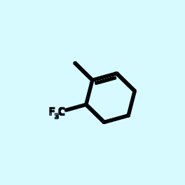 CC1=CCCCC1C(F)(F)F